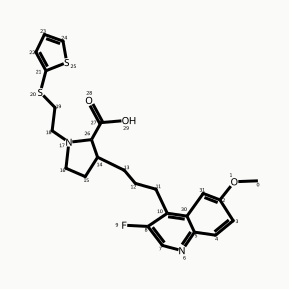 COc1ccc2ncc(F)c(CCCC3CCN(CCSc4cccs4)C3C(=O)O)c2c1